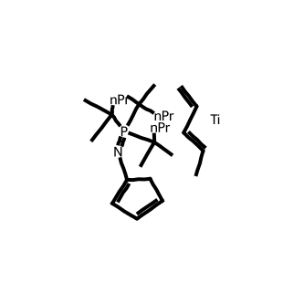 C=CC=CC.CCCC(C)(C)P(=NC1=CC=CC1)(C(C)(C)CCC)C(C)(C)CCC.[Ti]